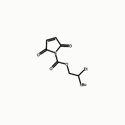 CCCCC(CC)COC(=O)N1C(=O)C=CC1=O